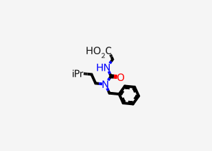 CC(C)CCN(Cc1ccccc1)C(=O)NCC(=O)O